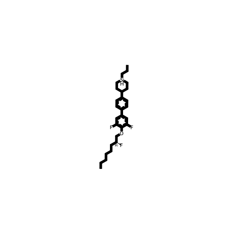 CCCCCC[C@@H](F)COc1c(F)cc(-c2ccc(C3CC[SiH](CCC)CC3)cc2)cc1F